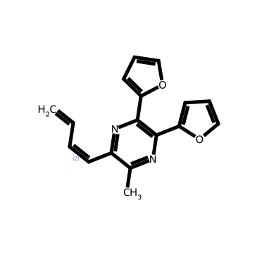 C=C/C=C\c1nc(-c2ccco2)c(-c2ccco2)nc1C